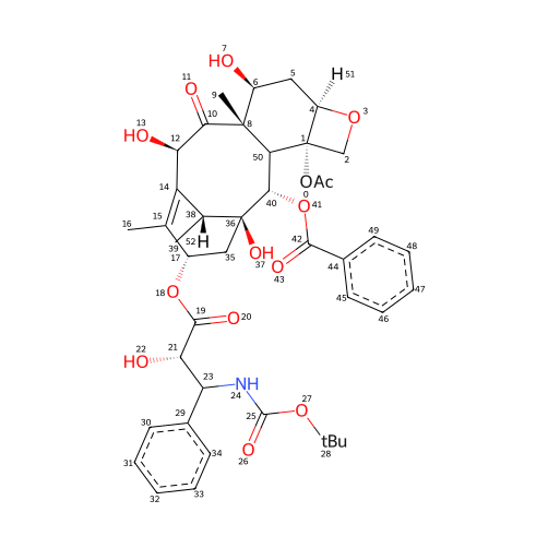 CC(=O)O[C@@]12CO[C@@H]1C[C@H](O)[C@@]1(C)C(=O)[C@H](O)C3=C(C)[C@@H](OC(=O)[C@@H](O)C(NC(=O)OC(C)(C)C)c4ccccc4)C[C@](O)([C@@H]3C)[C@@H](OC(=O)c3ccccc3)C12